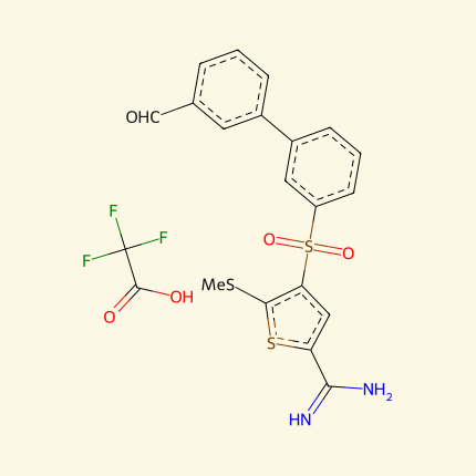 CSc1sc(C(=N)N)cc1S(=O)(=O)c1cccc(-c2cccc(C=O)c2)c1.O=C(O)C(F)(F)F